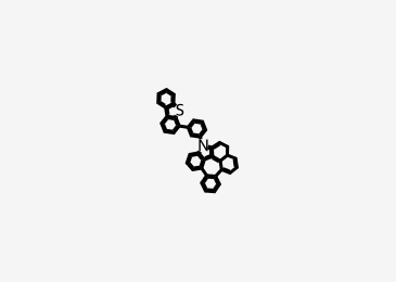 C1=CC2CC=c3c4c5c(cccc5n3-c3cccc(-c5cccc6c5sc5ccccc56)c3)-c3ccccc3C(=C1)C=42